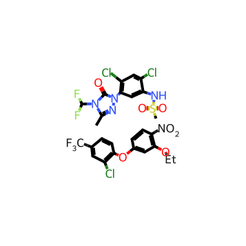 CCOc1cc(Oc2ccc(C(F)(F)F)cc2Cl)ccc1[N+](=O)[O-].Cc1nn(-c2cc(NS(C)(=O)=O)c(Cl)cc2Cl)c(=O)n1C(F)F